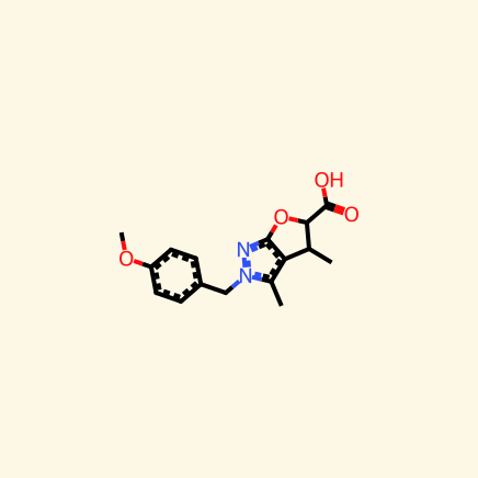 COc1ccc(Cn2nc3c(c2C)C(C)C(C(=O)O)O3)cc1